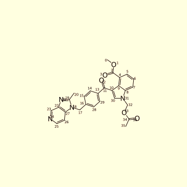 COC(=O)c1cccc2c1c(C(=O)c1ccc(Cn3c(C)nc4cnccc43)cc1)cn2COC(C)=O